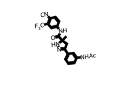 [C-]#[N+]c1ccc(NC(=O)C2(C)CC(c3cccc(NC(C)=O)c3)=NN2)cc1C(F)(F)F